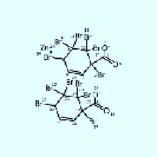 O=C([O-])C1(Br)C=CC(Br)C(Br)(Br)C1(Br)Br.O=C([O-])C1(Br)C=CC(Br)C(Br)(Br)C1(Br)Br.[Zn+2]